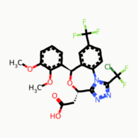 COc1cccc([C@@H]2O[C@@H](CC(=O)O)c3nnc(C(F)(F)Cl)n3-c3ccc(C(F)(F)F)cc32)c1OC